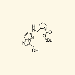 CC(C)(C)OC(=O)N1CCCC1CNc1ccc2ncc(CO)n2n1